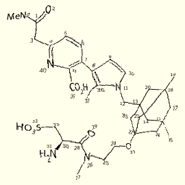 CNC(=O)Cc1ccc(-c2ccn(CC34CC5(C)CC(C)(C3)CC(OCCN(C)C(=O)[C@@H](N)CS(=O)(=O)O)(C5)C4)c2C)c(C(=O)O)n1